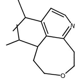 CC(C)c1ccnc2c1C(C(C)C)CCOCC2